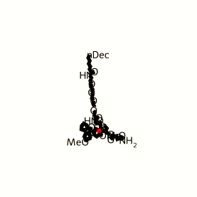 CCCCCCCCCCCCCCCC(=O)NCCOCCOCCOCCOCCC(=O)N[C@@H](COC(c1ccccc1)(c1ccc(OC)cc1)c1ccc(OC)cc1)C(=O)N1CCC(COC(=O)CCC(N)=O)CC1